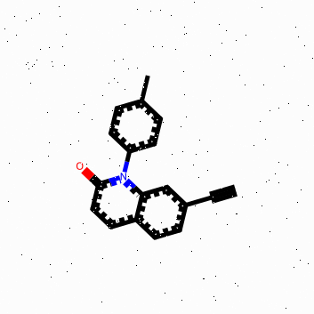 C#Cc1ccc2ccc(=O)n(-c3ccc(C)cc3)c2c1